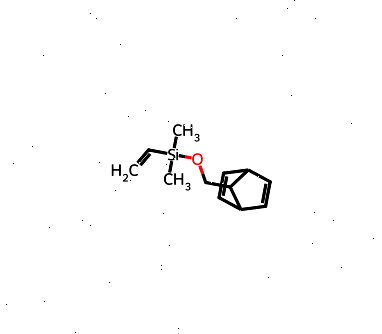 C=C[Si](C)(C)OCC1C2C=CC1C=C2